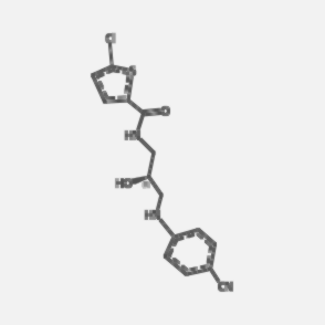 N#Cc1ccc(NC[C@@H](O)CNC(=O)c2ccc(Cl)s2)cc1